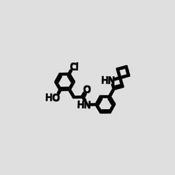 O=C(Cc1cc(Cl)ccc1O)Nc1cccc(C2=CC3(CCC3)N2)c1